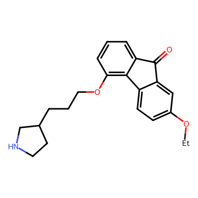 CCOc1ccc2c(c1)C(=O)c1cccc(OCCCC3CCNC3)c1-2